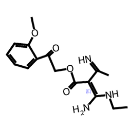 CCN/C(N)=C(\C(C)=N)C(=O)OCC(=O)c1ccccc1OC